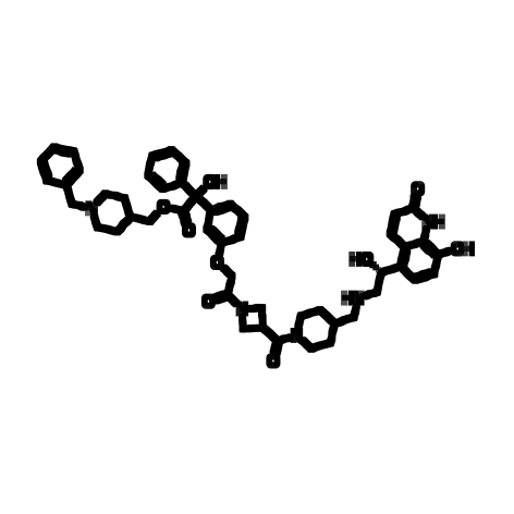 O=C(COc1cccc(C(O)(C(=O)OCC2CCN(Cc3ccccc3)CC2)c2ccccc2)c1)N1CC(C(=O)N2CCC(CNC[C@H](O)c3ccc(O)c4[nH]c(=O)ccc34)CC2)C1